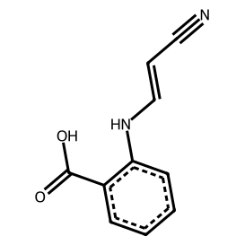 N#CC=CNc1ccccc1C(=O)O